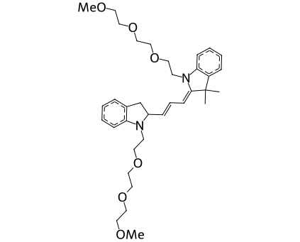 COCCOCCOCCN1C(=CC=CC2Cc3ccccc3N2CCOCCOCCOC)C(C)(C)c2ccccc21